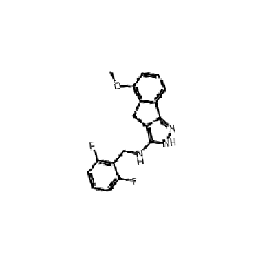 COc1cccc2c1Cc1c-2n[nH]c1NCc1c(F)cccc1F